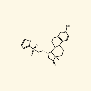 C[C@]12CCC3c4ccc(O)cc4CCC3C1[C@@H](CNS(=O)(=O)c1cccs1)CC2=O